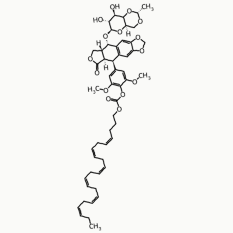 CC/C=C\C/C=C\C/C=C\C/C=C\C/C=C\C/C=C\CCCOC(=O)Oc1c(OC)cc([C@@H]2c3cc4c(cc3[C@@H](O[C@@H]3O[C@@H]5CO[C@@H](C)OC5[C@H](O)[C@H]3O)[C@H]3COC(=O)[C@H]23)OCO4)cc1OC